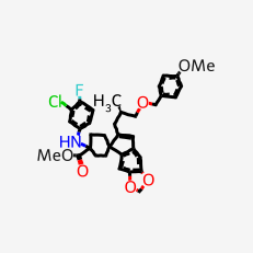 COC(=O)C1(Nc2ccc(F)c(Cl)c2)CCC2(CC1)C(C[C@@H](C)COCc1ccc(OC)cc1)=Cc1cc3c(cc12)OCO3